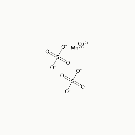 O=S(=O)([O-])[O-].O=S(=O)([O-])[O-].[Cu+2].[Mn+2]